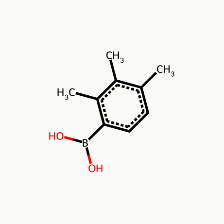 Cc1ccc(B(O)O)c(C)c1C